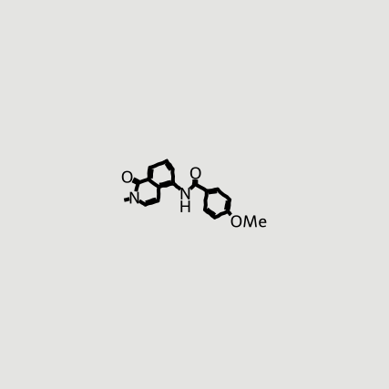 COc1ccc(C(=O)Nc2cccc3c(=O)n(C)ccc23)cc1